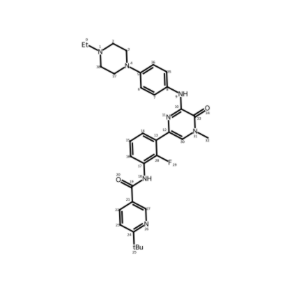 CCN1CCN(c2ccc(Nc3nc(-c4cccc(NC(=O)c5ccc(C(C)(C)C)nc5)c4F)cn(C)c3=O)cc2)CC1